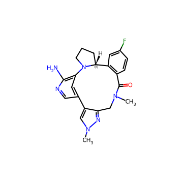 CN1Cc2nn(C)cc2-c2cnc(N)c(c2)N2CCC[C@@H]2c2cc(F)ccc2C1=O